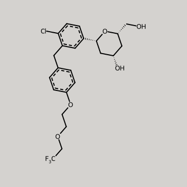 OC[C@@H]1C[C@H](O)C[C@H](c2ccc(Cl)c(Cc3ccc(OCCOCC(F)(F)F)cc3)c2)O1